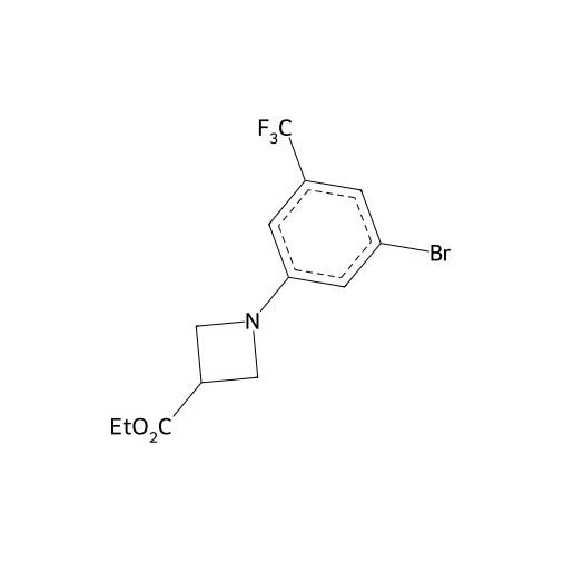 CCOC(=O)C1CN(c2cc(Br)cc(C(F)(F)F)c2)C1